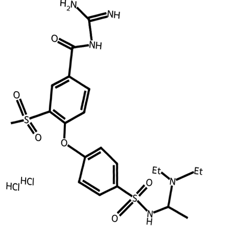 CCN(CC)C(C)NS(=O)(=O)c1ccc(Oc2ccc(C(=O)NC(=N)N)cc2S(C)(=O)=O)cc1.Cl.Cl